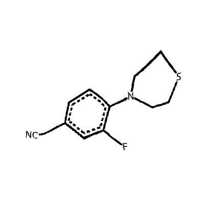 N#Cc1ccc(N2CCSCC2)c(F)c1